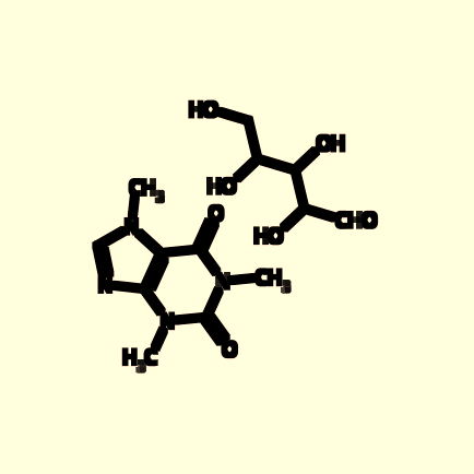 Cn1c(=O)c2c(ncn2C)n(C)c1=O.O=CC(O)C(O)C(O)CO